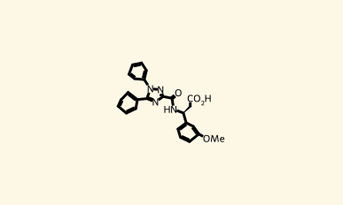 COc1cccc([C@H](CC(=O)O)NC(=O)c2nc(-c3ccccc3)n(-c3ccccc3)n2)c1